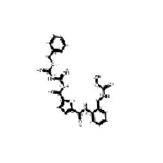 CC(C)(C)OC(=O)NCc1ccccc1NC(=O)c1ccc(C(=O)NC(=N)NC(=O)OCc2ccccc2)o1